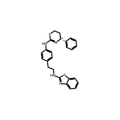 c1ccc([C@H]2CCSC(Nc3ccc(CCNc4nc5ccccc5s4)cc3)=N2)cc1